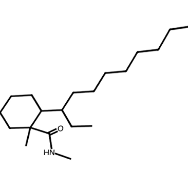 CCCCCCCCC(CC)C1CCCCC1(C)C(=O)NC